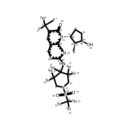 [2H]C(F)(F)c1cc2cnc(NC3([2H])C([2H])([2H])CN(S(=O)(=O)C([2H])([2H])[2H])CC3([2H])[2H])nc2n([C@@H]2CC[C@@H](O)[C@H]2C)c1=O